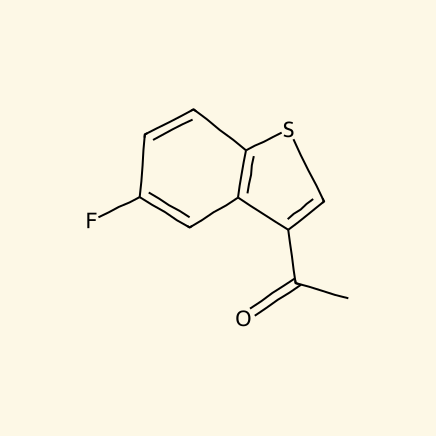 CC(=O)c1csc2ccc(F)cc12